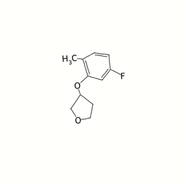 Cc1ccc(F)cc1OC1CCOC1